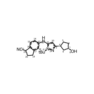 CC(C)(C)n1nc([C@H]2CC[C@@H](O)C2)cc1Nc1ccc2c(c1)CCC2C#N